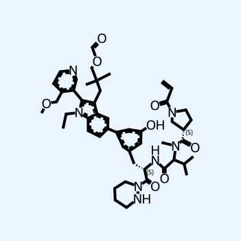 C=CC(=O)N1CC[C@H](C(=O)N(C)C(C(=O)N[C@@H](Cc2cc(O)cc(-c3ccc4c(c3)c(CC(C)(C)COC=O)c(-c3cnccc3COC)n4CC)c2)C(=O)N2CCCCN2)C(C)C)C1